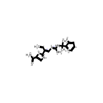 C=C/C(=C\N=C(/N)NC(C)(C)c1ncccc1F)c1ncc(C(N)=O)s1